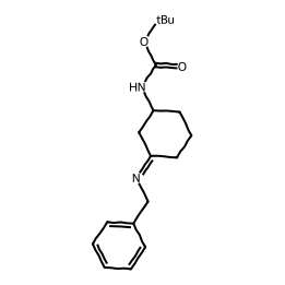 CC(C)(C)OC(=O)NC1CCC/C(=N\Cc2ccccc2)C1